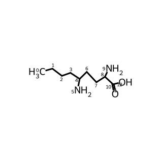 CCCCC(N)CCC(N)C(=O)O